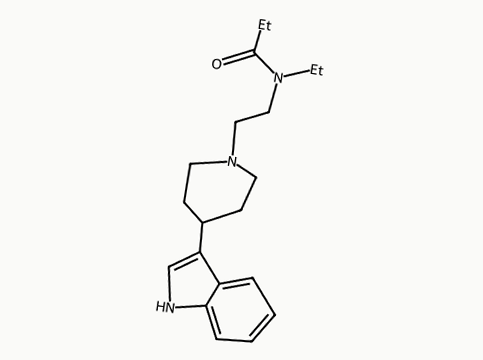 CCC(=O)N(CC)CCN1CCC(c2c[nH]c3ccccc23)CC1